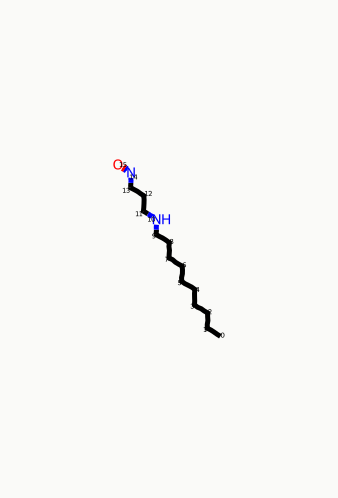 CCCCCCCCCCNCCCN=O